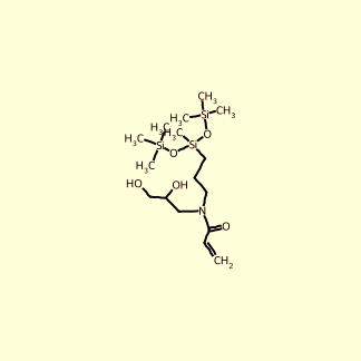 C=CC(=O)N(CCC[Si](C)(O[Si](C)(C)C)O[Si](C)(C)C)CC(O)CO